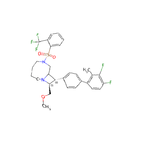 COC[C@@H]1[C@@H](c2ccc(-c3ccc(F)c(F)c3C)cc2)C2CN(S(=O)(=O)c3ccccc3C(F)(F)F)CCCCN21